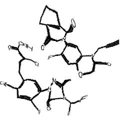 C#CCN1C(=O)COc2cc(F)c(N3C(=O)C4=C(CCCC4)C3=O)cc21.Cc1nn(-c2cc(CC(Cl)C(=O)O)c(Cl)cc2F)c(=O)n1C(F)F